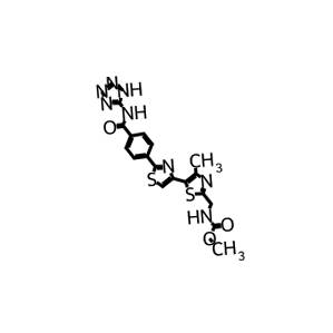 COC(=O)NCc1nc(C)c(-c2csc(-c3ccc(C(=O)Nc4nnn[nH]4)cc3)n2)s1